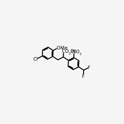 CCOC(=O)C(Cc1cc(Cl)ccc1OC)c1ccc(C(F)F)cc1[N+](=O)[O-]